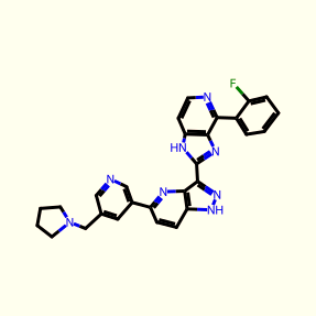 Fc1ccccc1-c1nccc2[nH]c(-c3n[nH]c4ccc(-c5cncc(CN6CCCC6)c5)nc34)nc12